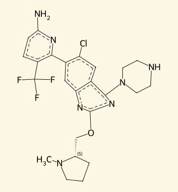 CN1CCC[C@H]1COc1nc(N2CCNCC2)c2cc(Cl)c(-c3nc(N)ccc3C(F)(F)F)cc2n1